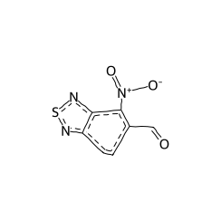 O=Cc1ccc2nsnc2c1[N+](=O)[O-]